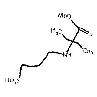 COC(=O)C(C)(C)NCCCS(=O)(=O)O